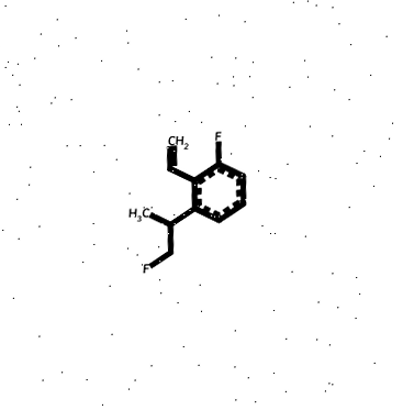 C=Cc1c(F)cccc1[C](C)CF